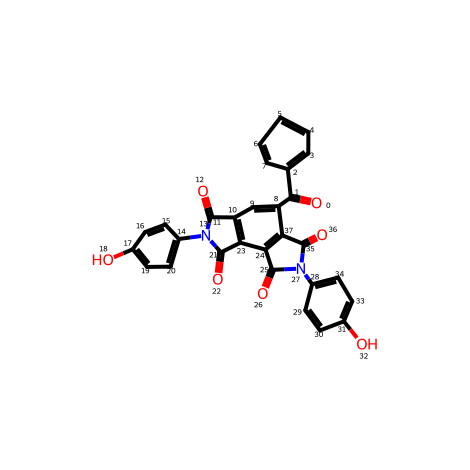 O=C(c1ccccc1)c1cc2c(=O)n(-c3ccc(O)cc3)c(=O)c2c2c(=O)n(-c3ccc(O)cc3)c(=O)c12